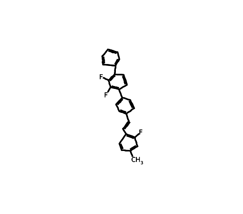 Cc1ccc(/C=C/c2ccc(-c3ccc(-c4ccccc4)c(F)c3F)cc2)c(F)c1